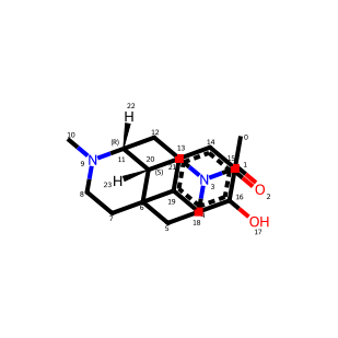 CC(=O)N1CCC23CCN(C)[C@H](Cc4ccc(O)cc42)[C@@H]3C1